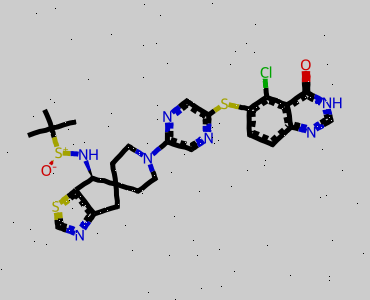 CC(C)(C)[S@@+]([O-])N[C@@H]1c2scnc2CC12CCN(c1cnc(Sc3ccc4nc[nH]c(=O)c4c3Cl)cn1)CC2